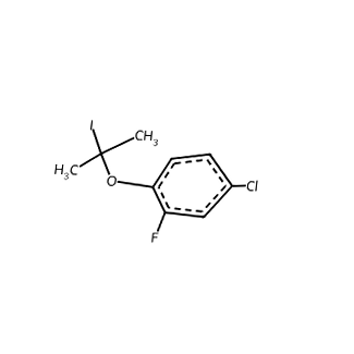 CC(C)(I)Oc1ccc(Cl)cc1F